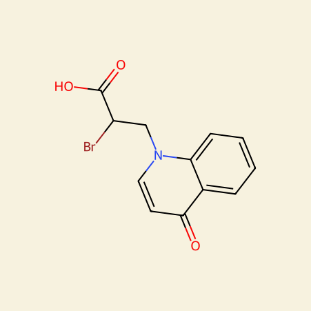 O=C(O)C(Br)Cn1ccc(=O)c2ccccc21